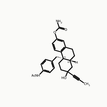 CC#CC1(O)CC[C@@]2(Cc3ccc(NC(C)=O)cc3)c3ccc(OC(N)=O)cc3CC[C@@H]2C1